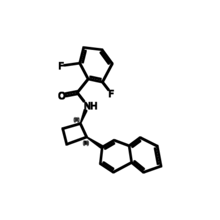 O=C(N[C@@H]1CC[C@@H]1c1ccc2ccccc2c1)c1c(F)cccc1F